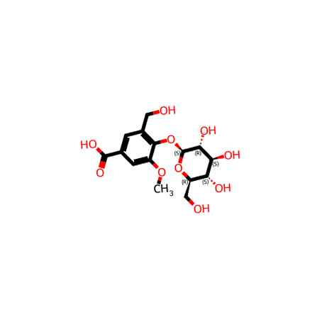 COc1cc(C(=O)O)cc(CO)c1O[C@@H]1O[C@H](CO)[C@@H](O)[C@H](O)[C@H]1O